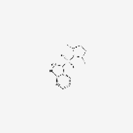 CC1CCC(C)N1S(=O)(=O)C1NNc2ncccc21